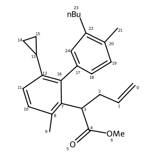 C=CCC(C(=O)OC)c1c(C)ccc(C2CC2)c1-c1ccc(C)c(CCCC)c1